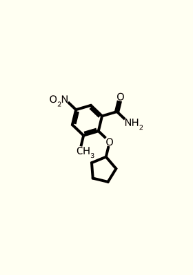 Cc1cc([N+](=O)[O-])cc(C(N)=O)c1OC1CCCC1